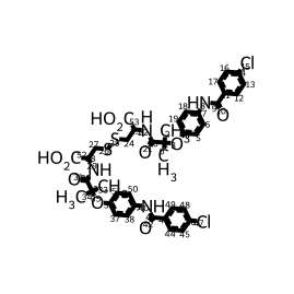 CC(C)(Oc1ccc(NC(=O)c2ccc(Cl)cc2)cc1)C(=O)NC(CSSCC(NC(=O)C(C)(C)Oc1ccc(NC(=O)c2ccc(Cl)cc2)cc1)C(=O)O)C(=O)O